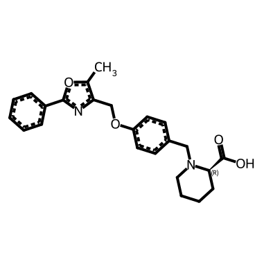 Cc1oc(-c2ccccc2)nc1COc1ccc(CN2CCCC[C@@H]2C(=O)O)cc1